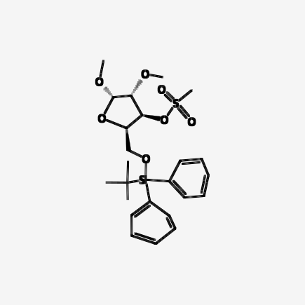 CO[C@H]1O[C@H](CO[Si](c2ccccc2)(c2ccccc2)C(C)(C)C)[C@H](OS(C)(=O)=O)[C@H]1OC